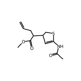 C=CCC(C(=O)OC)C1C=C(NC(C)=O)SC1